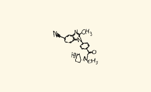 Cc1nc2cc(C#N)ccc2n1-c1ccc(C(=O)N(C)[C@@H]2CCNC2)cc1